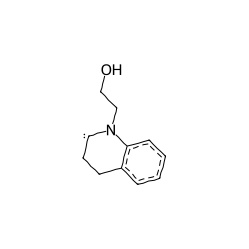 OCCN1[C]CCc2ccccc21